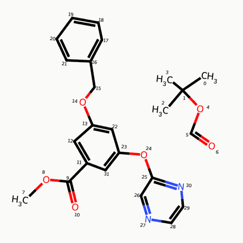 CC(C)(C)OC=O.COC(=O)c1cc(OCc2ccccc2)cc(Oc2cnccn2)c1